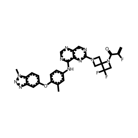 C=C(F)C(=O)N1CC(F)(F)C12CN(c1ncc3ncnc(Nc4ccc(Oc5ccc6c(c5)nnn6C)c(C)c4)c3n1)C2